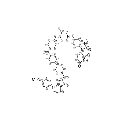 CNc1ccc(-c2ccnc3c2cc([C@H](C)N2CCC(c4ccc(C(=O)N5CCC(CN6CCN(Cc7ccc8c(c7)n(C)c(=O)n8[C@H]7CCC(=O)NC7=O)C[C@@H]6C)CC5)cc4)CC2)n3C)cn1